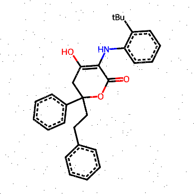 CC(C)(C)c1ccccc1NC1=C(O)CC(CCc2ccccc2)(c2ccccc2)OC1=O